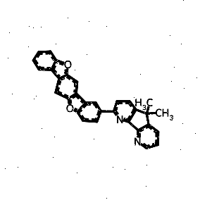 CC1(C)c2cccnc2-c2nc(-c3ccc4oc5cc6c(cc5c4c3)oc3ccccc36)ccc21